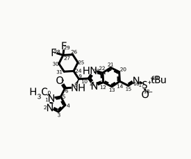 Cn1nccc1C(=O)N[C@H](c1nc2cc(/C=N/[S@@+]([O-])C(C)(C)C)ccc2[nH]1)C1CCC(F)(F)CC1